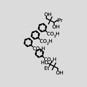 CC(C)C(O)C(C)(C)CO.CCC(C)(O)C(C)(C)CO.O=C(O)c1ccccc1.O=C(O)c1ccccc1.O=C(O)c1ccccc1.O=C(O)c1ccccc1